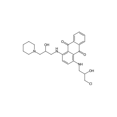 O=C1c2ccccc2C(=O)c2c(NCC(O)CN3CCCCC3)ccc(NCC(O)CCl)c21